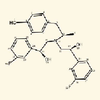 C[C@H](Cc1ccc(O)cc1)N(C[C@@H](O)c1cccc(F)c1)C[C@@H](O)c1cccc(F)c1